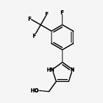 OCc1cnc(-c2ccc(F)c(C(F)(F)F)c2)[nH]1